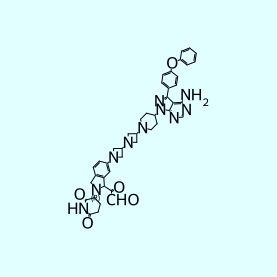 Nc1ncnc2c1c(-c1ccc(Oc3ccccc3)cc1)nn2C1CCN(C2CN(C3CN(c4ccc5c(c4)C(C(=O)C=O)N([C@@H]4CCC(=O)NC4=O)C5)C3)C2)CC1